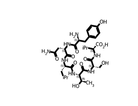 CC(C)C[C@H](NC(=O)[C@H](CC(N)=O)NC(=O)[C@@H](N)Cc1ccc(O)cc1)C(=O)N[C@H](C(=O)N[C@@H](CO)C(=O)N[C@H](C(=O)O)C(C)C)[C@@H](C)O